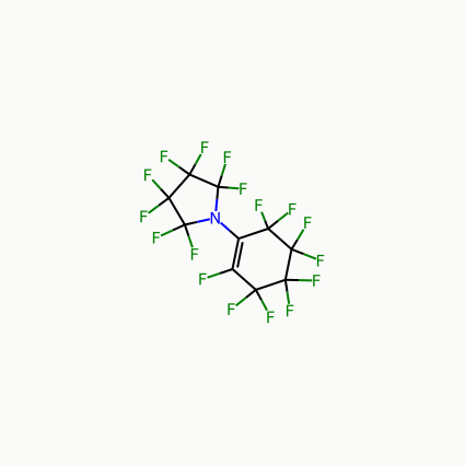 FC1=C(N2C(F)(F)C(F)(F)C(F)(F)C2(F)F)C(F)(F)C(F)(F)C(F)(F)C1(F)F